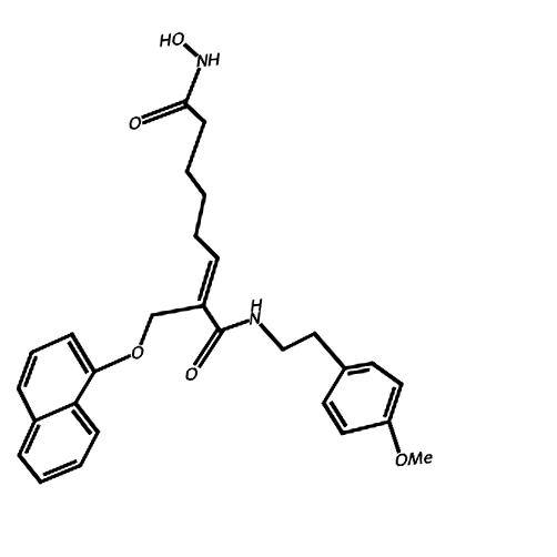 COc1ccc(CCNC(=O)/C(=C/CCCCC(=O)NO)COc2cccc3ccccc23)cc1